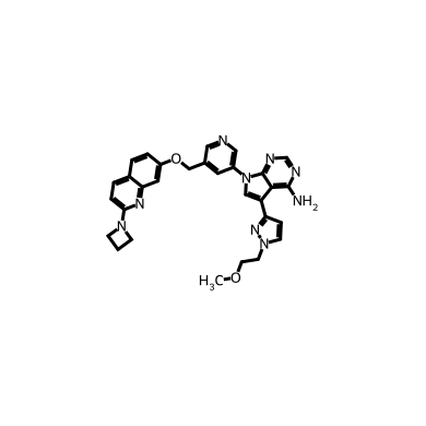 COCCn1ccc(-c2cn(-c3cncc(COc4ccc5ccc(N6CCC6)nc5c4)c3)c3ncnc(N)c23)n1